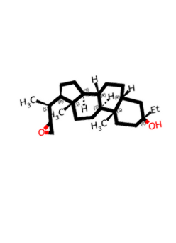 CC[C@@]1(O)CC[C@@]2(C)[C@H](CC[C@@H]3[C@@H]2CC[C@]2(C)[C@@H]([C@H](C)C4CO4)CC[C@@H]32)C1